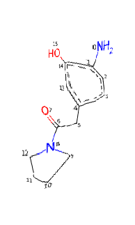 Nc1ccc(CC(=O)N2CCCC2)cc1O